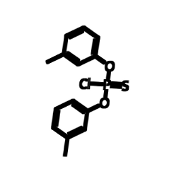 Cc1cccc(OP(=S)(Cl)Oc2cccc(C)c2)c1